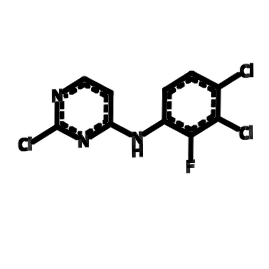 Fc1c(Nc2ccnc(Cl)n2)ccc(Cl)c1Cl